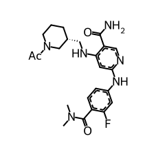 CC(=O)N1CCC[C@H](CNc2cc(Nc3ccc(C(=O)N(C)C)c(F)c3)ncc2C(N)=O)C1